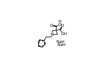 O=C(O)C1(C(=O)O)CN(CCc2ccccc2)C1.[NaH].[NaH]